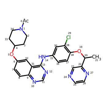 CC(=O)N1CCC(Oc2ccc3ncnc(Nc4ccc(OC(C)c5cnccn5)c(Cl)c4)c3c2)CC1